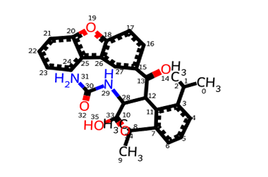 CC(C)c1cccc(C(C)C)c1C(C(=O)c1ccc2oc3ccccc3c2c1)C(NC(N)=O)C(=O)O